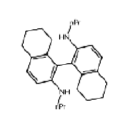 CCCNc1ccc2c(c1-c1c(NCCC)ccc3c1CCCC3)CCCC2